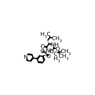 CC(C)C[C@H](NC(=O)OC(C)(C)C)C(=O)NS(=O)(=O)c1cccc(-c2ccncc2)c1